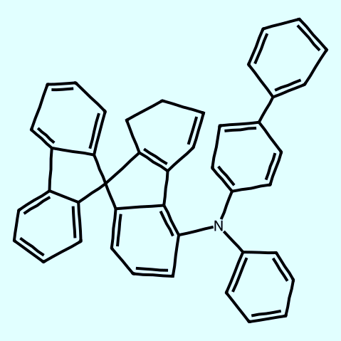 C1=CC2=C(CC1)C1(c3ccccc3-c3ccccc31)c1cccc(N(c3ccccc3)c3ccc(-c4ccccc4)cc3)c12